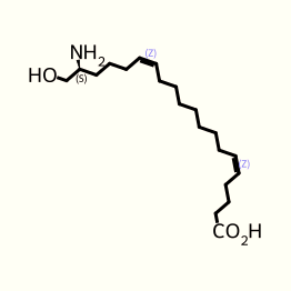 N[C@H](CO)CCC/C=C\CCCCCCC/C=C\CCCC(=O)O